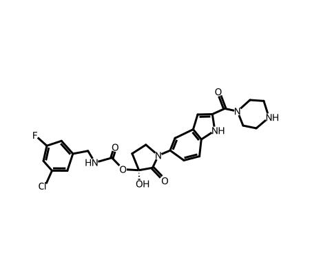 O=C(NCc1cc(F)cc(Cl)c1)O[C@@]1(O)CCN(c2ccc3[nH]c(C(=O)N4CCNCC4)cc3c2)C1=O